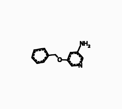 Nc1cncc(OCc2ccccc2)c1